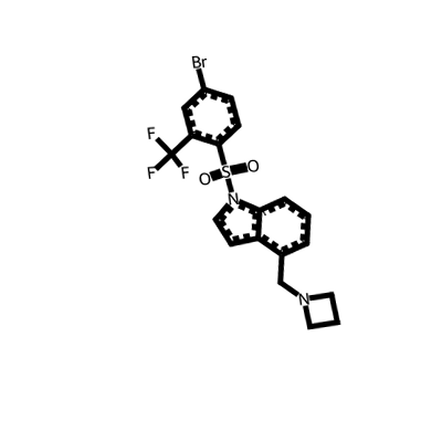 O=S(=O)(c1ccc(Br)cc1C(F)(F)F)n1ccc2c(CN3CCC3)cccc21